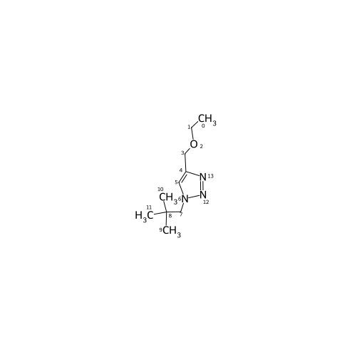 CCOCc1cn(CC(C)(C)C)nn1